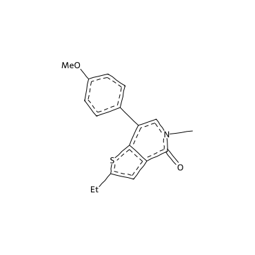 CCc1cc2c(=O)n(C)cc(-c3ccc(OC)cc3)c2s1